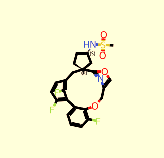 CS(=O)(=O)N[C@H]1CC[C@@]2(Cc3ccc(F)c(c3F)-c3cccc(F)c3OCc3coc2n3)C1